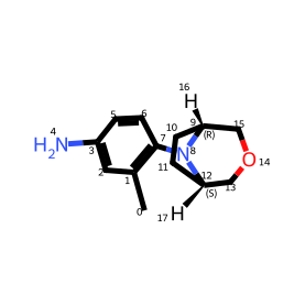 Cc1cc(N)ccc1N1[C@@H]2CC[C@H]1COC2